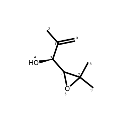 C=C(C)[C@H](O)C1OC1(C)C